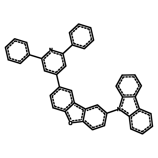 c1ccc(-c2cc(-c3ccc4oc5ccc(-n6c7ccccc7c7ccccc76)cc5c4c3)cc(-c3ccccc3)n2)cc1